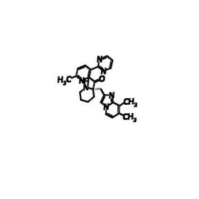 Cc1ccc(-c2ncccn2)c(C(=O)[C@@]2(Cc3cn4ccc(C)c(C)c4n3)CCCCN2)n1